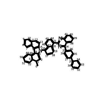 CC1C=c2c(c3c4ccccc4ccc3n2-c2cccc3c(-c4nc(-c5ccc(-c6ccccc6)cc5)c5ccccc5n4)cccc23)=C2C=CC=CC21